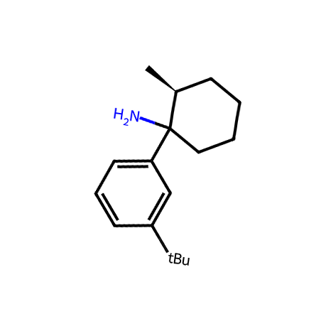 C[C@H]1CCCCC1(N)c1cccc(C(C)(C)C)c1